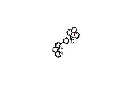 O=P(c1ccccc1)(c1ccc(-c2ccc3ccc4cccnc4c3n2)cc1)c1cccc2ccccc12